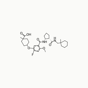 COc1cc(F)c(OC2CCC(C)(C(=O)O)CC2)cc1C(=O)N[C@@H]1CCC[C@@H]1C(=O)NCC1(C)CCCCC1